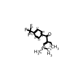 CCC(=CN(C)C)C(=O)c1ccc(C(F)(F)F)cc1